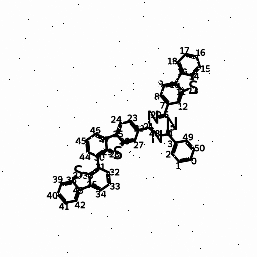 c1ccc(-c2nc(-c3ccc4c(c3)sc3ccccc34)nc(-c3ccc4c(c3)sc3c(-c5cccc6c5sc5ccccc56)cccc34)n2)cc1